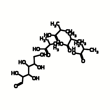 CC(C)C(=O)O.CC(C)C(=O)O.CC(C)C(=O)O.CC(C)C(=O)O.O=CC(O)C(O)C(O)C(O)CO